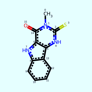 Cn1c(=S)[nH]c2c([nH]c3ccccc32)c1=O